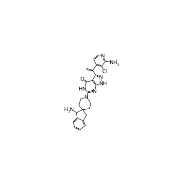 C=C(c1ccnc(N)c1Cl)c1n[nH]c2nc(N3CCC4(CC3)Cc3ccccc3C4N)[nH]c(=O)c12